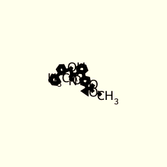 CCOC(=O)C1(c2ccc(-c3ccccc3-c3onc(C)c3C(O)c3cccc(-c4ccccc4)c3)cc2)CC1